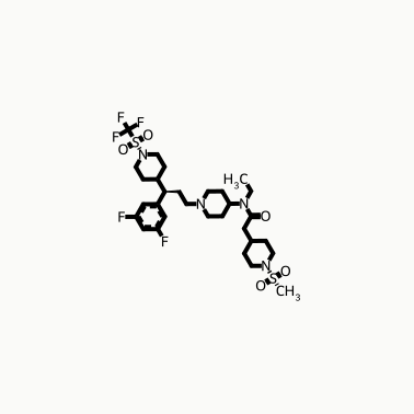 CCN(C(=O)CC1CCN(S(C)(=O)=O)CC1)C1CCN(CC[C@@H](c2cc(F)cc(F)c2)C2CCN(S(=O)(=O)C(F)(F)F)CC2)CC1